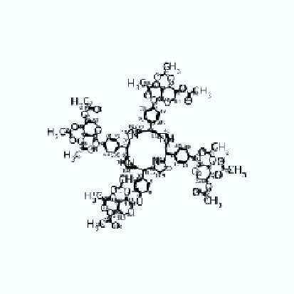 CC(=O)O[C@@H]1[C@H](Oc2ccc(-c3c4nc(c(-c5ccc(O[C@@H]6OC[C@@H](OC(C)=O)[C@@H](OC(C)=O)[C@@H]6OC(C)=O)cc5)c5ccc([nH]5)c(-c5ccc(O[C@@H]6OC[C@@H](OC(C)=O)[C@@H](OC(C)=O)[C@@H]6OC(C)=O)cc5)c5nc(c(-c6ccc(O[C@@H]7OC[C@@H](OC(C)=O)[C@@H](OC(C)=O)[C@@H]7OC(C)=O)cc6)c6ccc3[nH]6)CC5)CC4)cc2)OC[C@@H](OC(C)=O)[C@H]1OC(C)=O